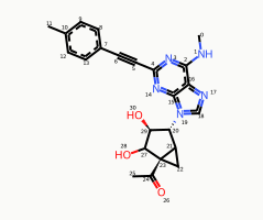 CNc1nc(C#Cc2ccc(C)cc2)nc2c1ncn2[C@@H]1C2C[C@]2(C(C)=O)C(O)[C@H]1O